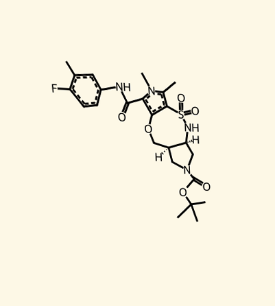 Cc1cc(NC(=O)c2c3c(c(C)n2C)S(=O)(=O)N[C@H]2CN(C(=O)OC(C)(C)C)C[C@H]2CO3)ccc1F